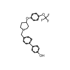 Oc1ccc(-c2ccc(CN3CCC(Oc4ccc(OC(F)(F)F)cc4)CC3)cc2)cc1